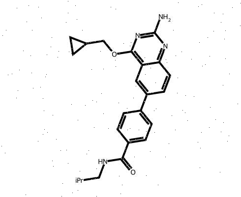 CC(C)CNC(=O)c1ccc(-c2ccc3nc(N)nc(OCC4CC4)c3c2)cc1